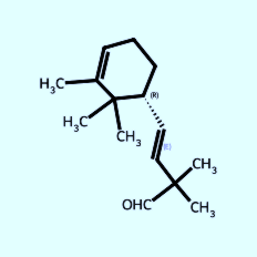 CC1=CCC[C@H](/C=C/C(C)(C)C=O)C1(C)C